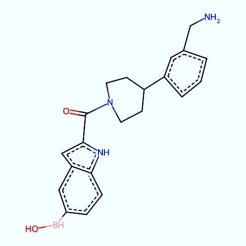 NCc1cccc(C2CCN(C(=O)c3cc4cc(BO)ccc4[nH]3)CC2)c1